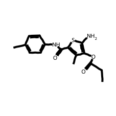 CCC(=O)Oc1c(N)sc(C(=O)Nc2ccc(C)cc2)c1C